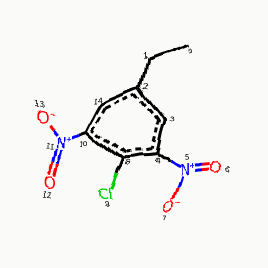 CCc1cc([N+](=O)[O-])c(Cl)c([N+](=O)[O-])c1